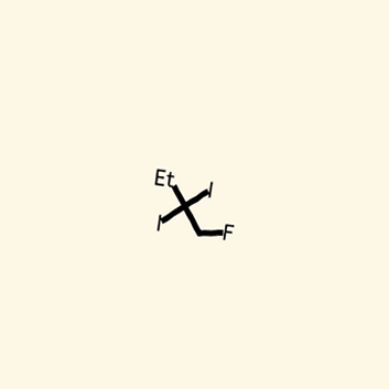 CCC(I)(I)CF